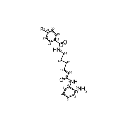 Nc1ccccc1NC(=O)/C=C/CCCNC(=O)c1ccc(F)cc1